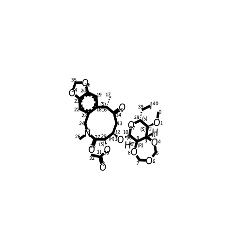 CO[C@H]1[C@@H]2OCOCO[C@H]2[C@H](O[C@@H]2CC(=O)[C@@H](C)c3cc4c(cc3CN(C)C(=O)[C@H]2OC(C)=O)OCO4)O[C@@H]1CI